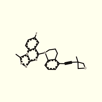 Cc1nnc2nc(N3CCCc4c(C#CC5(C)COC5)cccc43)c3cc(F)ccc3n12